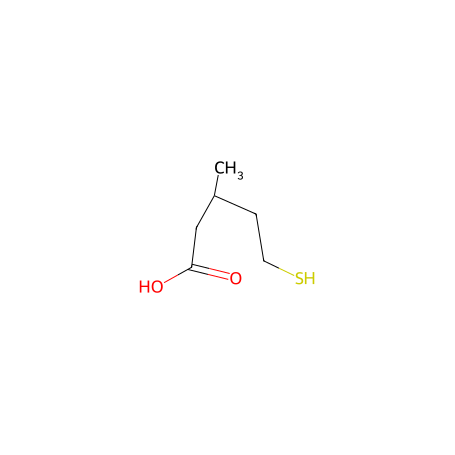 CC(CCS)CC(=O)O